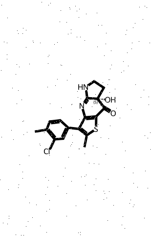 Cc1ccc(-c2c(C)sc3c2N=C2NCC[C@@]2(O)C3=O)cc1Cl